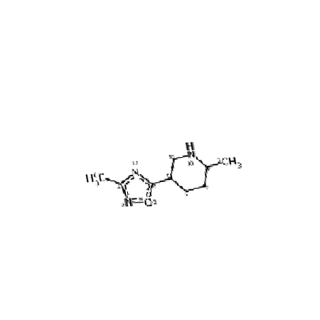 Cc1noc(C2CCC(C)NC2)n1